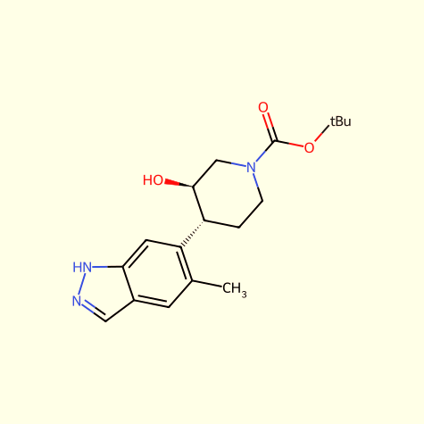 Cc1cc2cn[nH]c2cc1[C@H]1CCN(C(=O)OC(C)(C)C)C[C@@H]1O